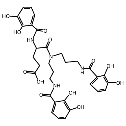 O=C(O)CCC(NC(=O)c1cccc(O)c1O)C(=O)N(CCCNC(=O)c1cccc(O)c1O)CCCNC(=O)c1cccc(O)c1O